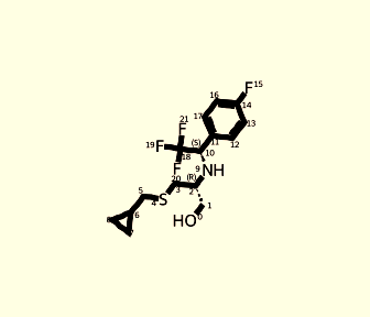 OC[C@H](CSCC1CC1)N[C@@H](c1ccc(F)cc1)C(F)(F)F